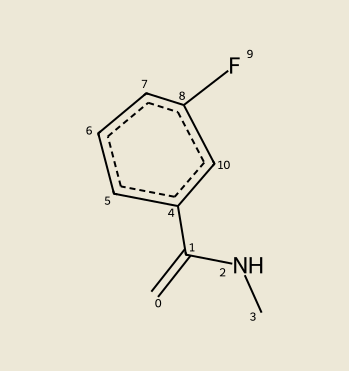 C=C(NC)c1cccc(F)c1